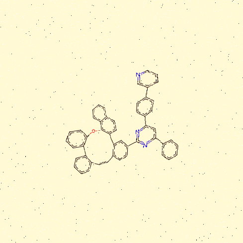 C1=C\c2ccc(-c3nc(-c4ccccc4)cc(-c4ccc(-c5cccnc5)cc4)n3)cc2-c2ccc3ccccc3c2Oc2ccccc2-c2ccccc2/1